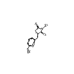 CCN1C(=O)/C(=C/c2cccc(Br)n2)SC1=S